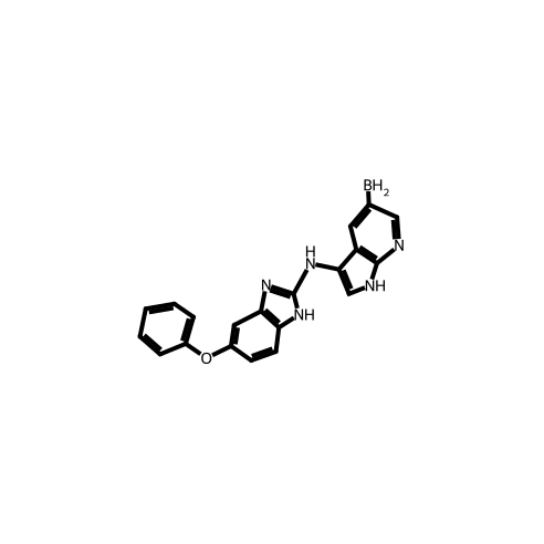 Bc1cnc2[nH]cc(Nc3nc4cc(Oc5ccccc5)ccc4[nH]3)c2c1